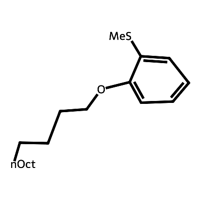 [CH2]Sc1ccccc1OCCCCCCCCCCCC